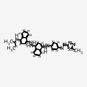 CCC(C)Nc1ccc(NNc2ccc(NNc3ccc(/N=N/c4nnc(C)s4)cc3)c3ccccc23)c2ccccc12